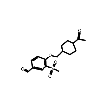 CC(=O)C1CCC(COc2ccc(C=O)cc2S(C)(=O)=O)CC1